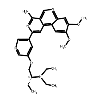 CC[C@H](COc1cncc(-c2cc3c(cnc4cc(OC)c(OC)cc43)c(N)n2)c1)N(CC)CC